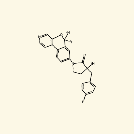 [2H]C1(Cc2ccc(F)cc2)CCN(c2ccc3c(c2)C([2H])([2H])Oc2cnccc2-3)C1=O